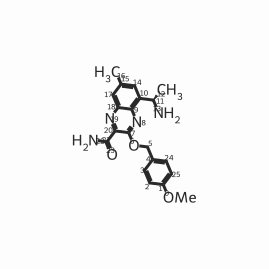 COc1ccc(COc2nc3c([C@@H](C)N)cc(C)cc3nc2C(N)=O)cc1